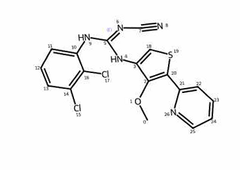 COc1c(N/C(=N\C#N)Nc2cccc(Cl)c2Cl)csc1-c1ccccn1